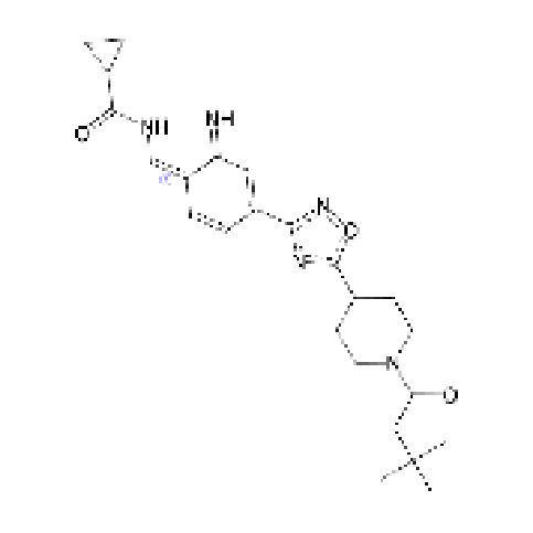 CC(C)(C)CC(=O)N1CCC(c2nc(C3=CC(=N)/C(=C\NC(=O)C4CC4)C=C3)no2)CC1